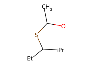 CCC(SC(C)[O])C(C)C